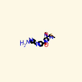 CON=C(c1csc(C)n1)C1CCN(C(=O)C2CCN(Cc3ccnc(N)c3)CC2)CC1